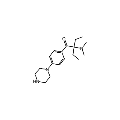 CCC(CC)(C(=O)c1ccc(N2CCNCC2)cc1)N(C)C